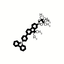 CC1(C)c2cc(B3OC(C)(C)C(C)(C)O3)ccc2-c2ccc(-c3ccc(-n4c5ccccc5c5ccccc54)cc3)cc21